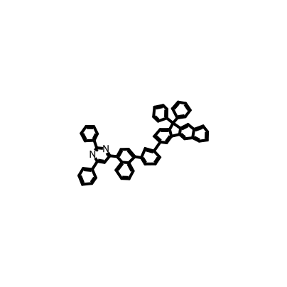 c1ccc(-c2cc(-c3ccc(-c4cccc(-c5ccc6c(c5)-c5cc7ccccc7cc5C6(c5ccccc5)c5ccccc5)c4)c4ccccc34)nc(-c3ccccc3)n2)cc1